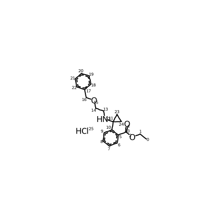 CCOC(=O)c1ccccc1C1(NCCOCc2ccccc2)CC1.Cl